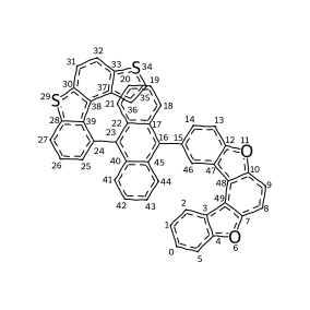 c1ccc2c(c1)oc1ccc3oc4ccc(-c5c6ccccc6c(-c6cccc7sc8ccc9sccc9c8c67)c6ccccc56)cc4c3c12